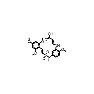 COc1cc(OC)c(C=CS(=O)(=O)Nc2ccc(OC)c(NC=CC(=O)O)c2)c(OC)c1